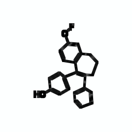 Oc1ccc(C2=C(c3ccccc3)CCCc3cc(OF)ccc32)cc1